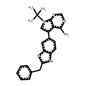 CC(C)(C)n1cc(-c2ccc3[nH]c(Cc4ccccc4)nc3c2)c2c(N)ncnc21